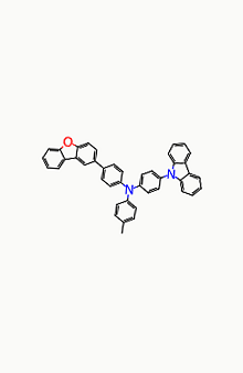 Cc1ccc(N(c2ccc(-c3ccc4oc5ccccc5c4c3)cc2)c2ccc(-n3c4ccccc4c4ccccc43)cc2)cc1